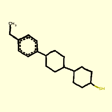 CCc1ccc(C2CCC(C3CCC(S)CC3)CC2)cc1